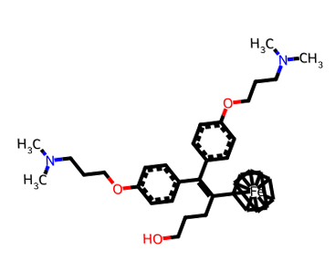 CN(C)CCCOc1ccc(C(=C(CCCO)[C]23[CH]4[CH]5[CH]6[CH]2[Fe]56432789[CH]3[CH]2[CH]7[CH]8[CH]39)c2ccc(OCCCN(C)C)cc2)cc1